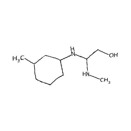 CNC(CO)NC1CCCC(C)C1